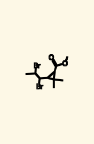 COC(=O)[C@@H]1C(C(Br)C(C)Br)C1(C)C